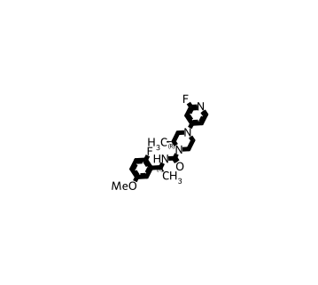 COc1ccc(F)c([C@@H](C)NC(=O)N2CCN(c3ccnc(F)c3)C[C@H]2C)c1